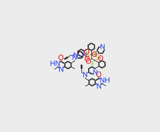 C#CCN(Cc1cc2c(=O)[nH]c(C)nc2cc1C)c1ccc(-c2ccccc2C(F)(C(=O)C(F)(c2ccccc2-c2ccc(N(CC#C)Cc3cc4c(=O)[nH]c(C)nc4cc3C)cn2)S(=O)(=O)c2ccncc2)S(=O)(=O)c2ccncc2)nc1